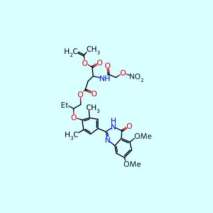 C=C(C)OC(=O)C(CC(=O)OCC(CC)Oc1c(C)cc(-c2nc3cc(OC)cc(OC)c3c(=O)[nH]2)cc1C)NC(=O)CO[N+](=O)[O-]